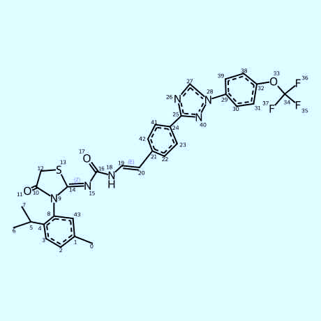 Cc1ccc(C(C)C)c(N2C(=O)CS/C2=N\C(=O)N/C=C/c2ccc(-c3ncn(-c4ccc(OC(F)(F)F)cc4)n3)cc2)c1